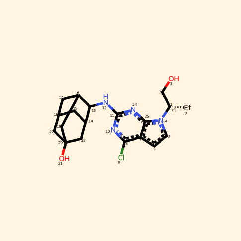 CC[C@@H](CO)n1ccc2c(Cl)nc(NC3C4CC5CC3CC(O)(C5)C4)nc21